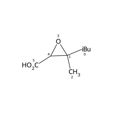 CCC(C)C1(C)OC1C(=O)O